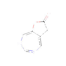 O=C1CC2=CN=CNC=C2O1